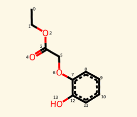 CCOC(=O)COc1ccccc1O